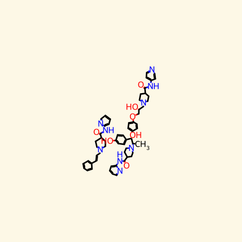 CC(C(O)c1ccc(O)cc1)N1CCC(C(=O)Nc2ccccn2)CC1.O=C(Nc1ccccn1)C1CCN(CC=Cc2ccccc2)CC1.O=C(Nc1ccncc1)C1CCN(CC(O)COc2ccccc2)CC1